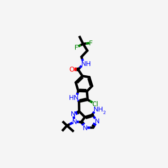 CC(F)(F)CCNC(=O)c1ccc2c(Cl)c(-c3nn(C(C)(C)C)c4ncnc(N)c34)[nH]c2c1